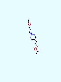 CCOCCCN1CCC(CCCOC(C)C)CC1